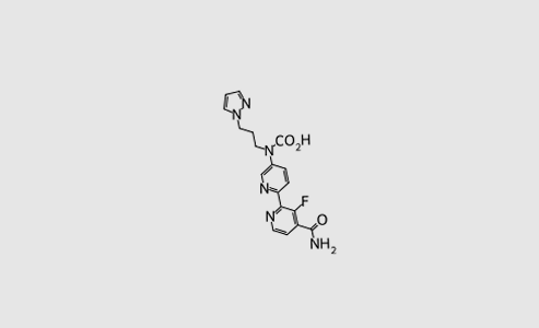 NC(=O)c1ccnc(-c2ccc(N(CCCn3cccn3)C(=O)O)cn2)c1F